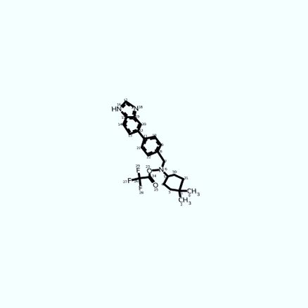 CC1(C)CCC(N(Cc2ccc(-c3ccc4[nH]cnc4c3)cc2)OC(=O)C(F)(F)F)CC1